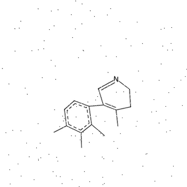 CC1=C(c2ccc(C)c(C)c2C)C=NCC1